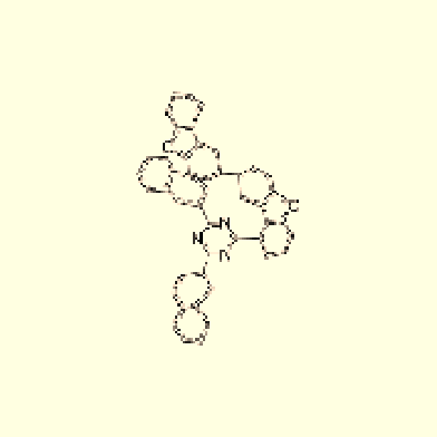 c1ccc2cc(-c3nc(-c4ccc5ccccc5c4)nc(-c4cccc5oc6ccc(-c7ccc8oc9ccccc9c8c7)cc6c45)n3)ccc2c1